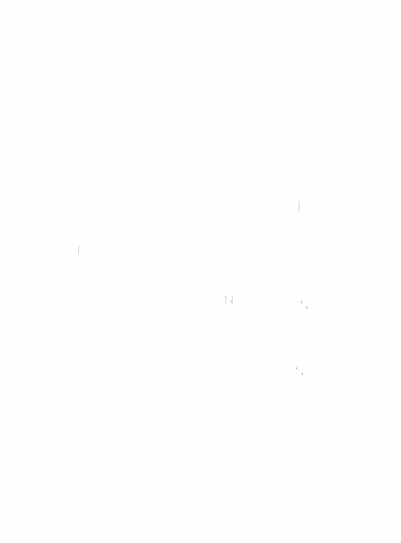 CSC(=N)N1CCSCC1C(=Nc1ccc(C(F)(F)F)cc1)c1ccccc1Cl